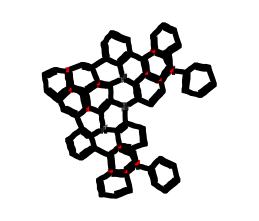 C1=CC(c2cccc(-c3ccccc3)c2N2c3cc(N(c4ccccc4)c4ccccc4)ccc3B3c4ccc(N(c5ccccc5)c5ccccc5)cc4N(c4c(-c5ccccc5)cccc4-c4ccccc4)c4cc(-c5ccccc5)cc2c43)=CCC1